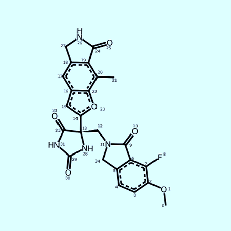 COc1ccc2c(c1F)C(=O)N(C[C@@]1(c3cc4cc5c(c(C)c4o3)C(=O)NC5)NC(=O)NC1=O)C2